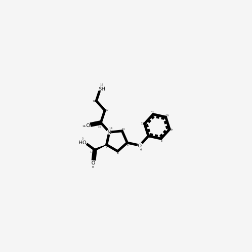 O=C(O)[C@@H]1CC(Oc2ccccc2)CN1C(=O)CCS